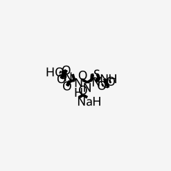 CC(C)ON=C(C(=O)NC1CN(S(=O)(=O)O)C1=O)c1csc(NS(C)(=O)=O)n1.[NaH]